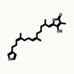 CC(=CCCc1ccoc1)CCC=C(C)CCCC(C)C=C1OC(=O)C(C)=C1O